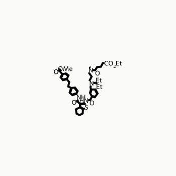 CCOC(=O)CCCC(=O)N(C)CCCN(Cc1cccc(C(=O)Nc2sc3c(c2C(=O)Nc2ccc(CCc4ccc(C(=O)OC)cc4)cc2)CCCC3)c1)C(CC)CC